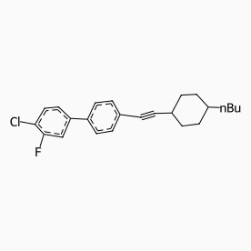 CCCCC1CCC(C#Cc2ccc(-c3ccc(Cl)c(F)c3)cc2)CC1